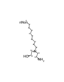 CCCCCCCCCCCCCCCCCCN(CCN)CCO